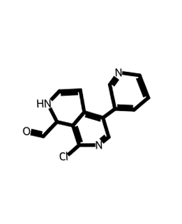 O=CC1NC=Cc2c(-c3cccnc3)cnc(Cl)c21